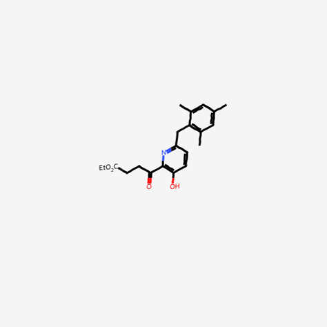 CCOC(=O)CCC(=O)c1nc(Cc2c(C)cc(C)cc2C)ccc1O